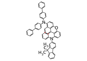 CC1(C)c2ccccc2-c2ccc(N(c3ccccc3)c3cccc4c3-c3cccc5c(N(c6ccc(-c7ccccc7)cc6)c6ccc(-c7ccccc7)cc6)ccc(c35)O4)cc21